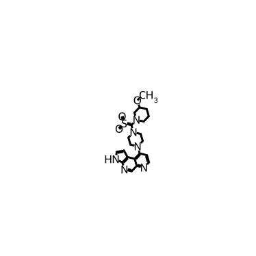 COC1CCCN(C(N2CCN(c3ccnc4cnc5[nH]ccc5c34)CC2)=S(=O)=O)C1